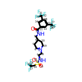 O=C(NCC1CCN(CCNS(=O)(=O)CC(F)(F)F)CC1)c1cc(C(F)(F)F)cc(C(F)(F)F)c1